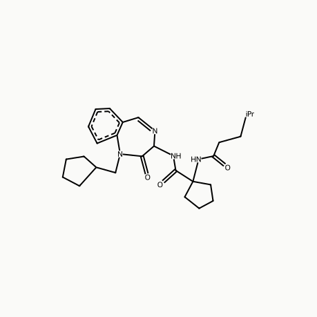 CC(C)CCC(=O)NC1(C(=O)NC2N=Cc3ccccc3N(CC3CCCC3)C2=O)CCCC1